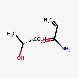 C=CC(N)=O.C[C@@H](O)C(=O)O